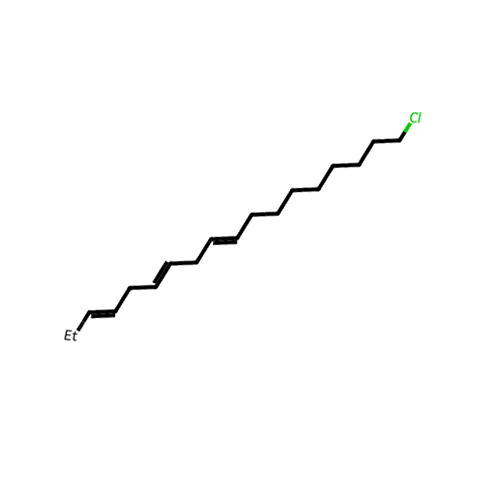 CCC=CCC=CCC=CCCCCCCCCCl